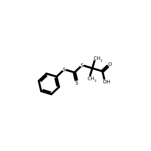 CC(C)(SC(=S)Sc1ccccc1)C(=O)O